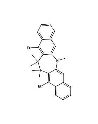 CCc1c2c(cc3ccccc13)N(C)c1cc3ccccc3c(CC)c1C(C)(C)C2(C)C